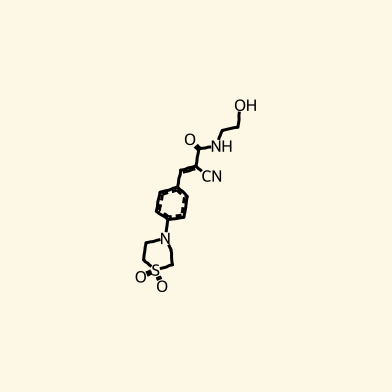 N#C/C(=C\c1ccc(N2CCS(=O)(=O)CC2)cc1)C(=O)NCCO